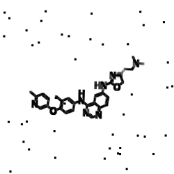 Cc1ccc(Oc2ccc(Nc3ncnc4ccc(NC5=N[C@H](CCN(C)C)CO5)cc34)cc2C)cn1